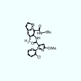 COc1cc(C(=O)Nc2c(C)cc3ccnn3c2C(=O)NC(C)(C)C)n(-c2ncccc2Cl)n1